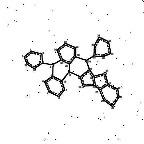 c1ccc(N2c3ccccc3B3c4sc5c(oc6ccccc65)c4N(c4ccccc4)c4cccc2c43)cc1